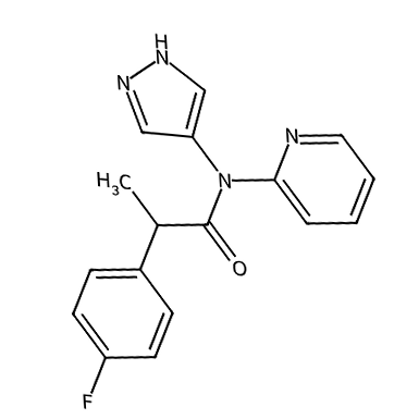 CC(C(=O)N(c1cn[nH]c1)c1ccccn1)c1ccc(F)cc1